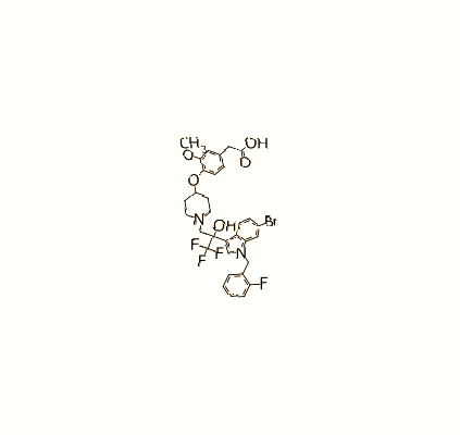 COc1cc(CC(=O)O)ccc1OC1CCN(CC(O)(c2cn(Cc3ccccc3F)c3cc(Br)ccc23)C(F)(F)F)CC1